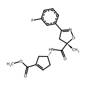 COC(=O)C1=CC[C@@H](NC(=O)[C@]2(C)CC(c3cccc(F)c3)=NO2)C1